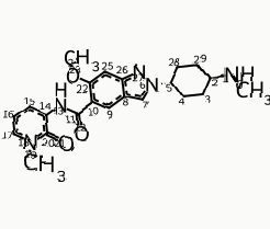 CN[C@H]1CC[C@H](n2cc3cc(C(=O)Nc4cccn(C)c4=O)c(OC)cc3n2)CC1